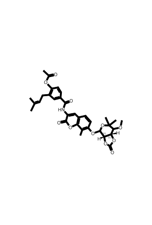 COC1[C@@H]2OC(=O)O[C@@H]2C(Oc2ccc3cc(NC(=O)c4ccc(OC(C)=O)c(CC=C(C)C)c4)c(=O)oc3c2C)OC1(C)C